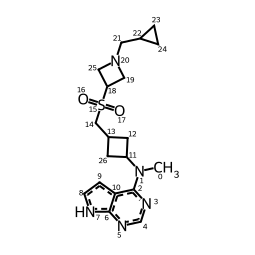 CN(c1ncnc2[nH]ccc12)C1CC(CS(=O)(=O)C2CN(CC3CC3)C2)C1